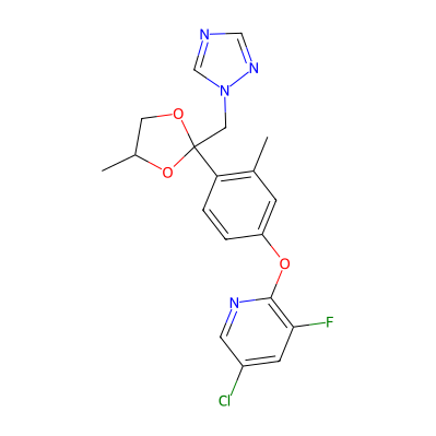 Cc1cc(Oc2ncc(Cl)cc2F)ccc1C1(Cn2cncn2)OCC(C)O1